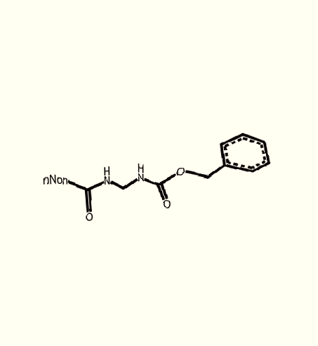 CCCCCCCCCC(=O)NCNC(=O)OCc1ccccc1